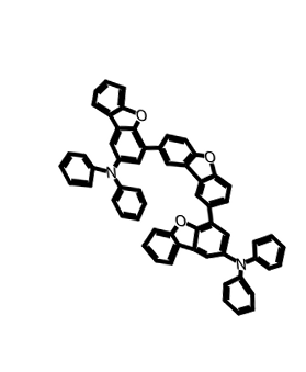 c1ccc(N(c2ccccc2)c2cc(-c3ccc4oc5ccc(-c6cc(N(c7ccccc7)c7ccccc7)cc7c6oc6ccccc67)cc5c4c3)c3oc4ccccc4c3c2)cc1